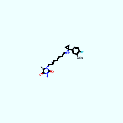 CC(C)COc1cc(C2(NCCCC/C=C/CN3C(=O)NC(=O)[C@H]3C)CC2)ccc1F